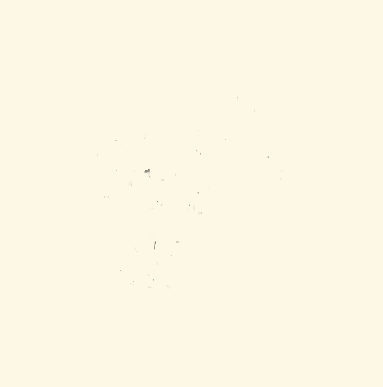 C#Cc1cccc2cc(O)cc(-c3ncc4c(N5C[C@H]6CC[C@@H](C5)C6O)nc(OC[C@@]56CCCN5C[C@H](F)C6)nc4c3F)c12